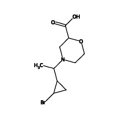 CC(C1CC1Br)N1CCOC(C(=O)O)C1